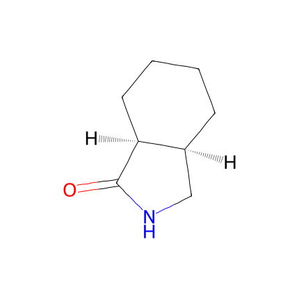 O=C1NC[C@@H]2CCCC[C@H]12